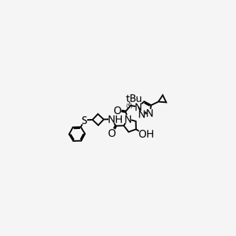 CC(C)(C)[C@@H](C(=O)N1CC(O)CC1C(=O)NC1CC(Sc2ccccc2)C1)n1cc(C2CC2)nn1